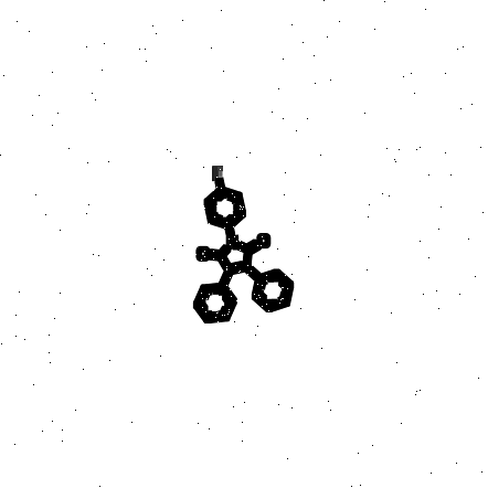 O=C1C(c2ccccc2)=C(c2ccccc2)C(=O)N1c1ccc(F)cc1